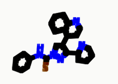 S=C(Nc1ccccc1)n1cc(-c2ccnc3ccccc23)c(-c2ccccn2)n1